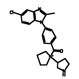 Cc1nc2cc(Cl)ccc2n1-c1ccc(C(=O)[N+]2(C3CCNC3)CCCC2)cc1